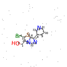 OCc1c(Br)sc2c(-c3cccnc3)ncn12